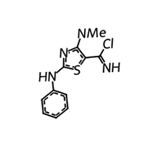 CNc1nc(Nc2ccccc2)sc1C(=N)Cl